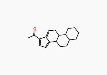 CC(=O)C1=CC=C2C1=CCC1C2CCC2CCCCC21